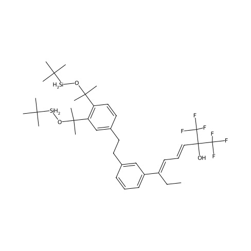 CCC(=CC=CC(O)(C(F)(F)F)C(F)(F)F)c1cccc(CCc2ccc(C(C)(C)O[SiH2]C(C)(C)C)c(C(C)(C)O[SiH2]C(C)(C)C)c2)c1